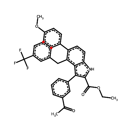 CCOC(=O)c1[nH]c2ccc(-c3ccc(OC)cc3)c(Cc3cccc(C(F)(F)F)c3)c2c1-c1cccc(C(C)=O)c1